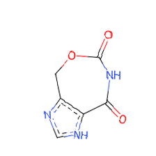 O=C1NC(=O)c2[nH]cnc2CO1